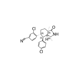 C[C@H]1NC(=O)[C@]2(C)CC[C@@H](c3ccc(C#N)cc3Cl)[C@H](c3ccc(Cl)cc3)[C@H]12